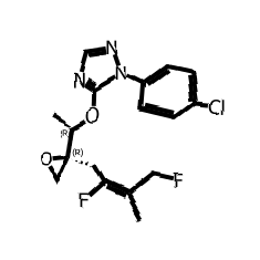 CC(CF)=C(F)C[C@]1([C@@H](C)Oc2ncnn2-c2ccc(Cl)cc2)CO1